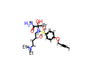 CC#CCOc1ccc(S(=O)(=O)N(CCCCN(CC)CC)C(O)(C(N)=O)C(C)C)cc1